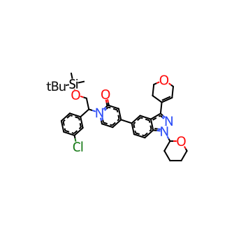 CC(C)(C)[Si](C)(C)OCC(c1cccc(Cl)c1)n1ccc(-c2ccc3c(c2)c(C2=CCOCC2)nn3C2CCCCO2)cc1=O